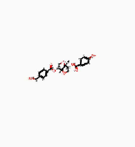 O=C(O[C@@H]1CO[C@H]2[C@@H]1OC[C@H]2OC(=O)c1ccc(CO)cc1)c1ccc(O)cc1